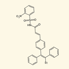 CC/C(=C(\c1ccccc1)c1ccc(/C=C/C(=O)NS(=O)(=O)c2ccccc2[N+](=O)[O-])cc1)c1ccccc1